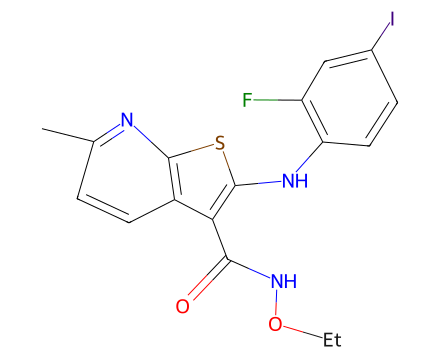 CCONC(=O)c1c(Nc2ccc(I)cc2F)sc2nc(C)ccc12